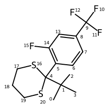 CC(C)(C)C1(c2ccc(C(F)(F)F)cc2F)SCCCS1